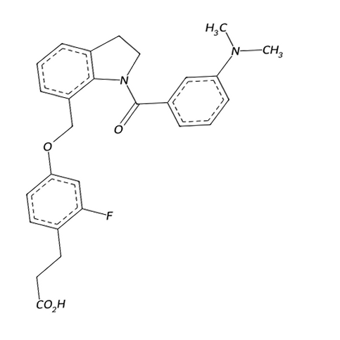 CN(C)c1cccc(C(=O)N2CCc3cccc(COc4ccc(CCC(=O)O)c(F)c4)c32)c1